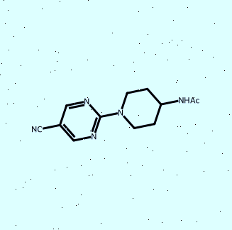 CC(=O)NC1CCN(c2ncc(C#N)cn2)CC1